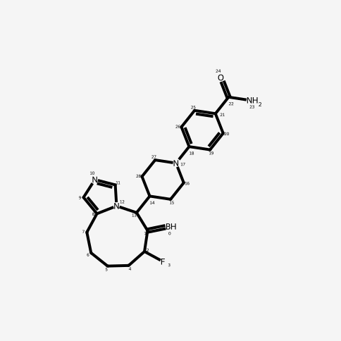 B=C1C(F)CCCCc2cncn2C1C1CCN(c2ccc(C(N)=O)cc2)CC1